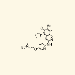 CCN(C)CCOc1ccc(Nc2ncc3c(C)c(C(C)=O)c(=O)n(C4CCCC4)c3n2)nc1